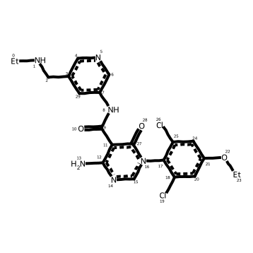 CCNCc1cncc(NC(=O)c2c(N)ncn(-c3c(Cl)cc(OCC)cc3Cl)c2=O)c1